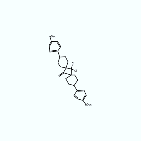 CCCCCCCCCCc1ccc(C2CCC3(CC2)C(=O)C2(CCC(c4ccc(CCCCCCCCCC)cc4)CC2)C3(Cl)Cl)cc1